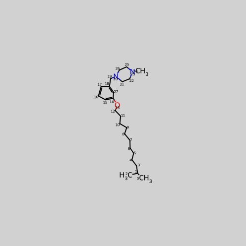 CC(C)CCCCCCCCCCOc1cccc(CN2CCN(C)CC2)c1